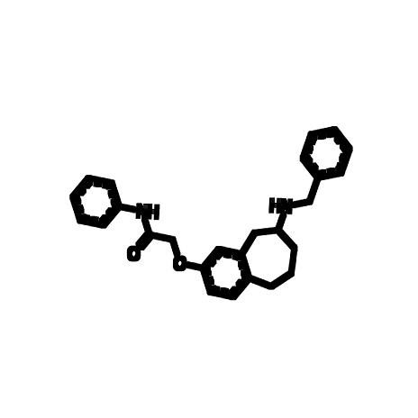 O=C(COc1ccc2c(c1)CC(NCc1ccccc1)CCC2)Nc1ccccc1